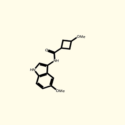 COc1ccc2[nH]cc(NC(=O)C3CC(OC)C3)c2c1